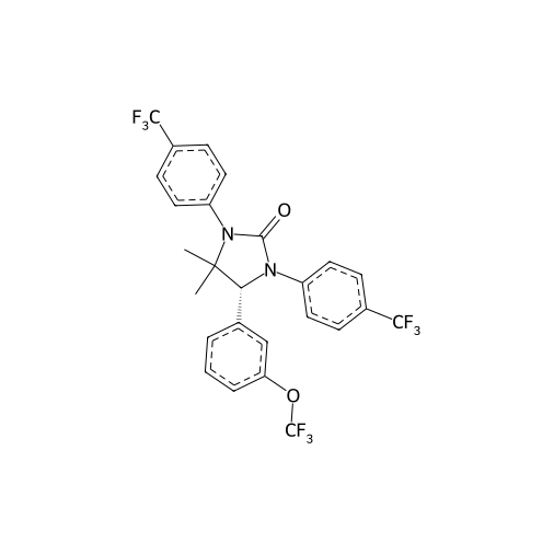 CC1(C)[C@@H](c2cccc(OC(F)(F)F)c2)N(c2ccc(C(F)(F)F)cc2)C(=O)N1c1ccc(C(F)(F)F)cc1